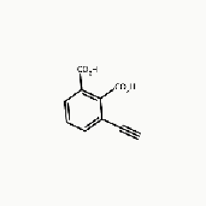 C#Cc1cccc(C(=O)O)c1C(=O)O